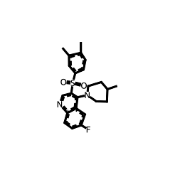 Cc1ccc(S(=O)(=O)c2cnc3ccc(F)cc3c2N2CCC(C)CC2)cc1C